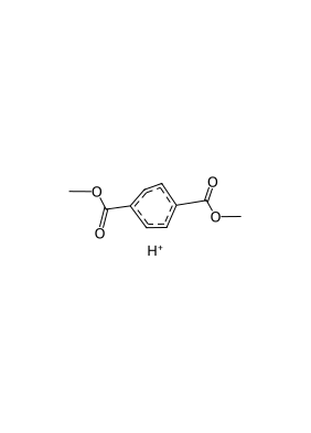 COC(=O)c1ccc(C(=O)OC)cc1.[H+]